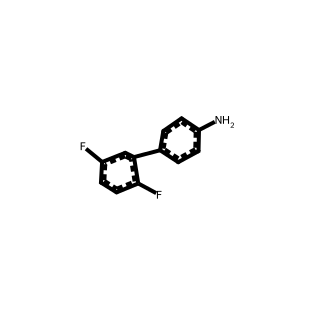 Nc1ccc(-c2cc(F)ccc2F)cc1